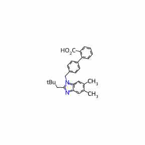 Cc1cc2nc(CC(C)(C)C)n(Cc3ccc(-c4ccccc4C(=O)O)cc3)c2cc1C